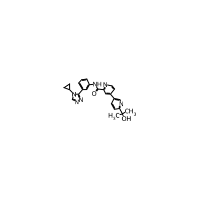 CC(C)(O)c1ccc(-c2ccnc(C(=O)Nc3cccc(-c4nncn4C4CC4)c3)c2)cn1